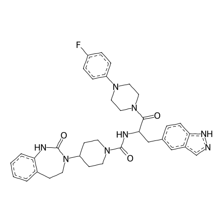 O=C(NC(Cc1ccc2[nH]ncc2c1)C(=O)N1CCN(c2ccc(F)cc2)CC1)N1CCC(N2CCc3ccccc3NC2=O)CC1